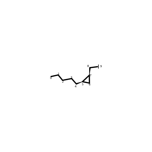 CCCCC[C@@H]1C[C@@H]1CI